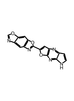 c1cc2nc3cc(-c4nc5cc6ncoc6cc5o4)oc3nc2[nH]1